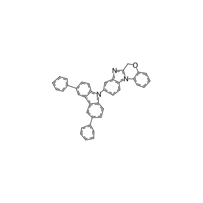 c1ccc(-c2ccc3c(c2)c2cc(-c4ccccc4)ccc2n3-c2ccc3c(c2)nc2n3-c3ccccc3OC2)cc1